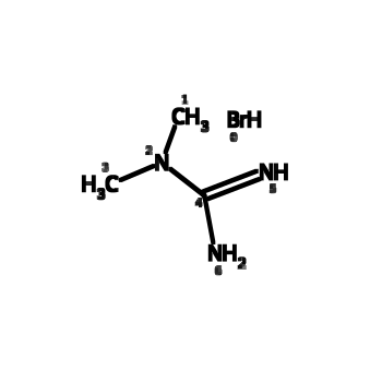 Br.CN(C)C(=N)N